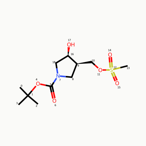 CC(C)(C)OC(=O)N1C[C@H](COS(C)(=O)=O)[C@H](O)C1